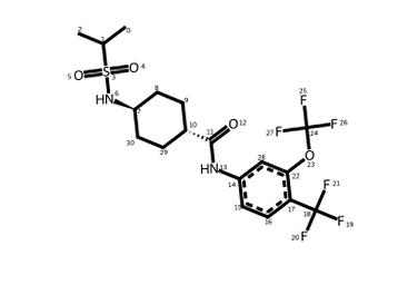 CC(C)S(=O)(=O)N[C@H]1CC[C@H](C(=O)Nc2ccc(C(F)(F)F)c(OC(F)(F)F)c2)CC1